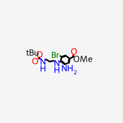 COC(=O)c1cc(N)c(NCCCNC(=O)OC(C)(C)C)c(Br)c1